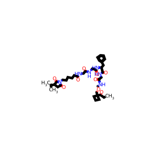 CCC(=O)C1(COCNC(=O)CNC(=O)C(Cc2ccccc2)NC(=O)CNC(=O)CNC(=O)CCCCCN2C(=O)CC(C(C)C)C2=O)CCC1